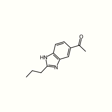 CCCc1nc2cc(C(C)=O)ccc2[nH]1